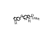 COC(=O)c1cc2cc(N(C)c3ccc4[nH]ccc4c3)cnc2[nH]1